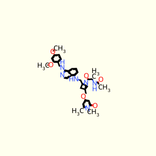 COc1ccc(CNc2nccc3c(NCC45CC(COc6cc(C)n(C)c(=O)c6)(CN4C(=O)C(C)NC(C)=O)C5)cccc23)c(OC)c1